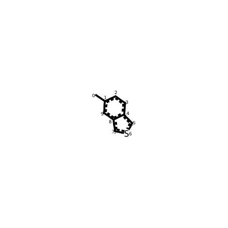 Cc1ccc2[c]s[c]c2c1